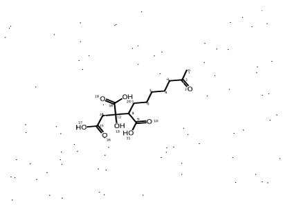 CC(=O)CCCCCC(C(=O)O)C(O)(CC(=O)O)C(=O)O